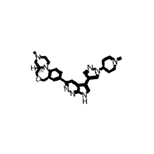 CN1CCC(n2cc(-c3c[nH]c4nnc(-c5ccc6c(c5)COC[C@@H]5CN(C)CCN65)cc34)cn2)CC1